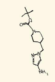 CC(C)(C)OC(=O)N1CCC(Cn2cc(N)cn2)CC1